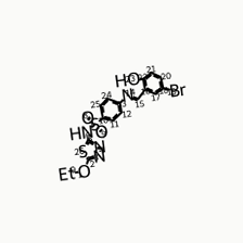 CCOc1nnc(NS(=O)(=O)c2ccc(/N=C/c3cc(Br)ccc3O)cc2)s1